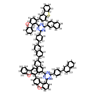 c1ccc2cc(-c3ccc(-c4nc(-c5ccc6ccc(-c7ccc8cc(-c9ccc(-c%10nc(-c%11ccc%12ccccc%12c%11)nc(-c%11c(-c%12ccc%13sc%14ccccc%14c%13c%12)ccc%12oc%13ccccc%13c%11%12)n%10)cc9)ccc8c7)cc6c5)nc(-c5cccc6oc7ccc(-c8cccc9c8oc8ccccc89)cc7c56)n4)cc3)ccc2c1